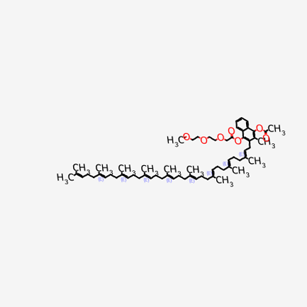 COCCOCCOCC(=O)Oc1c(C/C=C(\C)CC/C=C(\C)CC/C=C(\C)CC/C=C(\C)CC/C=C(\C)CC/C=C(\C)CC/C=C(\C)CC/C=C(\C)CCC=C(C)C)c(C)c(OC(C)=O)c2ccccc12